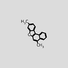 Cc1ccc2c(c1)oc1cc(C)c3ccccc3c12